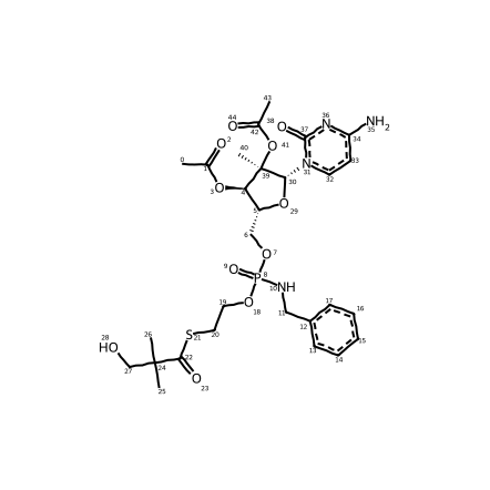 CC(=O)O[C@@H]1[C@@H](COP(=O)(NCc2ccccc2)OCCSC(=O)C(C)(C)CO)O[C@@H](n2ccc(N)nc2=O)[C@]1(C)OC(C)=O